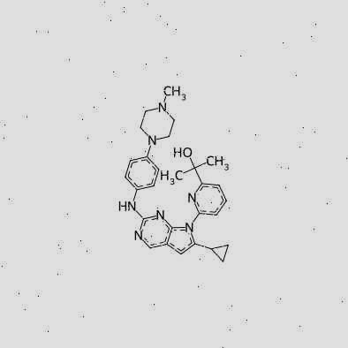 CN1CCN(c2ccc(Nc3ncc4cc(C5CC5)n(-c5cccc(C(C)(C)O)n5)c4n3)cc2)CC1